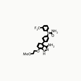 COCCOc1ccc(-c2ccc(N(C(N)=O)c3cccc(C(F)(F)F)c3)cc2)c2c(N)n[nH]c12